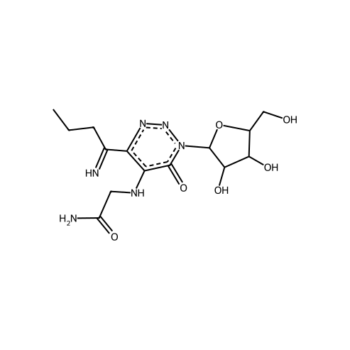 CCCC(=N)c1nnn(C2OC(CO)C(O)C2O)c(=O)c1NCC(N)=O